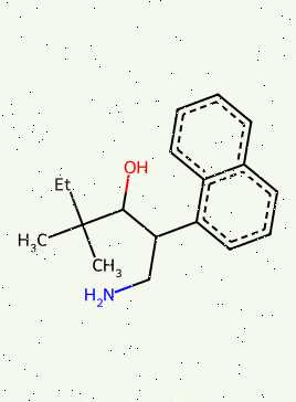 CCC(C)(C)C(O)C(CN)c1cccc2ccccc12